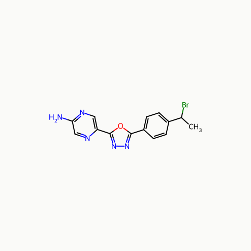 CC(Br)c1ccc(-c2nnc(-c3cnc(N)cn3)o2)cc1